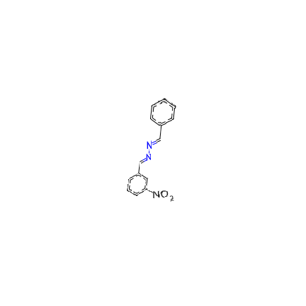 O=[N+]([O-])c1cccc(C=NN=Cc2ccccc2)c1